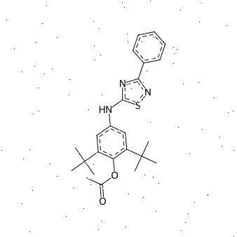 CC(=O)Oc1c(C(C)(C)C)cc(Nc2nc(-c3ccccc3)ns2)cc1C(C)(C)C